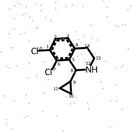 Clc1ccc2c(c1Cl)C(C1CC1)NCC2